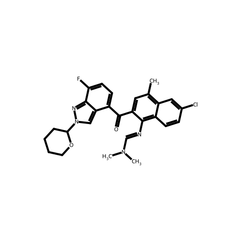 Cc1cc(C(=O)c2ccc(F)c3nn(C4CCCCO4)cc23)c(/N=C/N(C)C)c2ccc(Cl)cc12